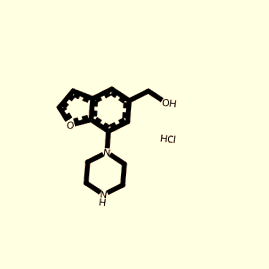 Cl.OCc1cc(N2CCNCC2)c2occc2c1